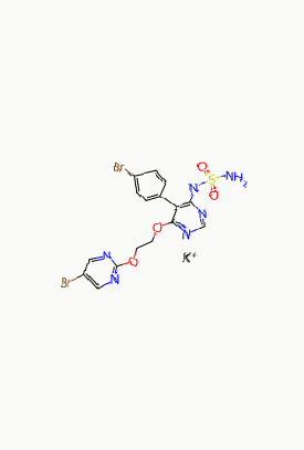 NS(=O)(=O)[N-]c1ncnc(OCCOc2ncc(Br)cn2)c1-c1ccc(Br)cc1.[K+]